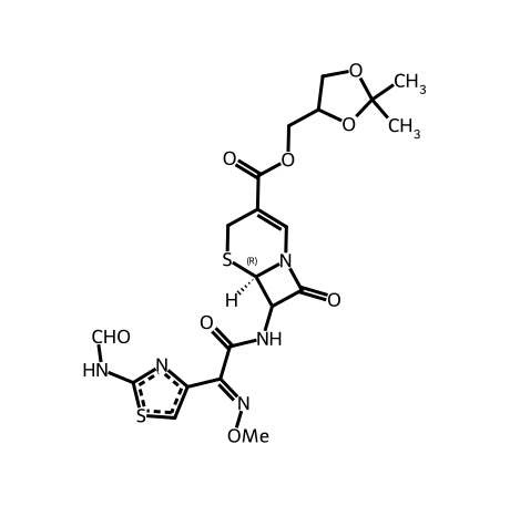 CON=C(C(=O)NC1C(=O)N2C=C(C(=O)OCC3COC(C)(C)O3)CS[C@H]12)c1csc(NC=O)n1